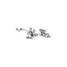 CC(C)C[C@@H](CNCCCCC(NC(=O)OC(C)(C)C)C(=O)NNC(=O)CCCCCN)NC(=O)OC(C)(C)C